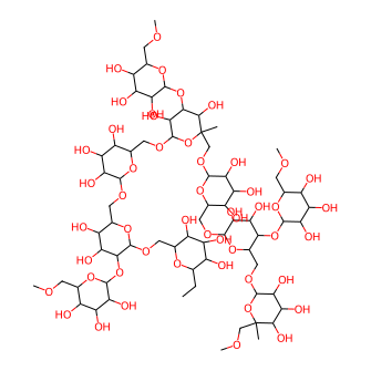 CCC1OC(COC2OC(COC3OC(COC4OC(C)(COC5OC(COC6OC(COC7OC(C)(COC)C(O)C(O)C7O)C(OC7OC(COC)C(O)C(O)C7O)C(O)C6O)C(O)C(O)C5O)C(O)C(OC5OC(COC)C(O)C(O)C5O)C4O)C(O)C(O)C3O)C(O)C(O)C2OC2OC(COC)C(O)C(O)C2O)C(O)C(O)C1O